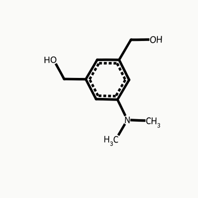 CN(C)c1cc(CO)cc(CO)c1